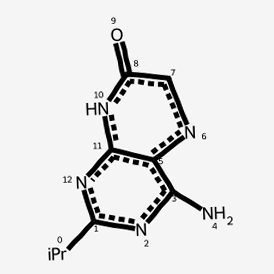 CC(C)c1nc(N)c2ncc(=O)[nH]c2n1